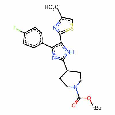 CC(C)(C)OC(=O)N1CCC(c2nc(-c3ccc(F)cc3)c(-c3nc(C(=O)O)cs3)[nH]2)CC1